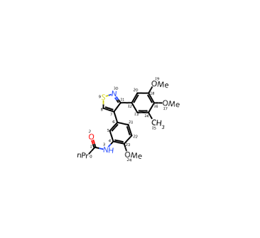 CCCC(=O)Nc1cc(-c2csnc2-c2cc(C)c(OC)c(OC)c2)ccc1OC